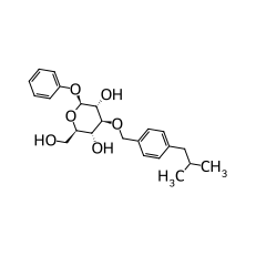 CC(C)Cc1ccc(CO[C@@H]2[C@@H](O)[C@H](Oc3ccccc3)O[C@H](CO)[C@H]2O)cc1